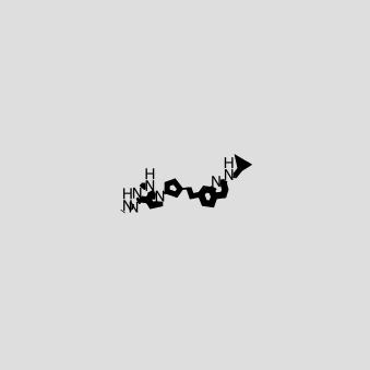 CN/N=c1\nc[nH]c2c1ccn2[C@H]1CC[C@@H](CCc2ccc3ccc(NCC4CC4)nc3c2)C1